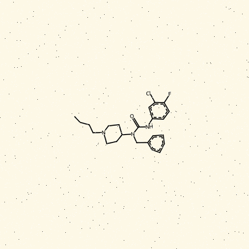 CCCCN1CCC(N(Cc2ccccc2)C(=O)Nc2ccc(F)c(Cl)c2)CC1